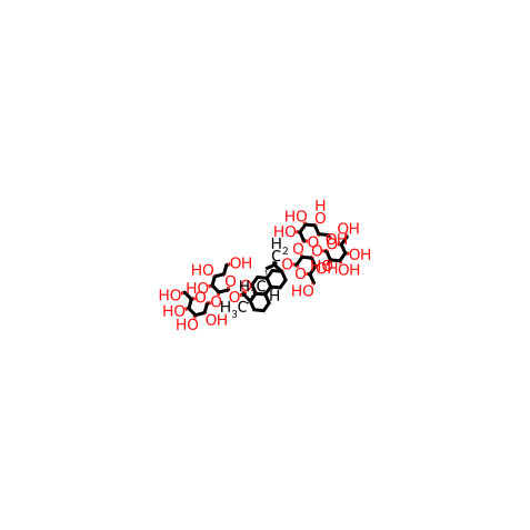 C=C1C[C@@]23CCC4[C@](C)(C(=O)OC5OC(CO)C(O)C(O)C5OC5OC(CO)C(O)C(O)C5O)CCC[C@@]4(C)[C@@H]2CC[C@]1(OC1OC(CO)C(O)C(OC2OC(CO)C(O)C(O)C2O)C1OC1OC(CO)C(O)C(O)C1O)C3